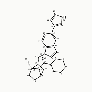 O=C(C1CCCCC1)N1C2CC[C@H]1C(Cn1ccc3cc(-c4cn[nH]c4)ccc31)C2